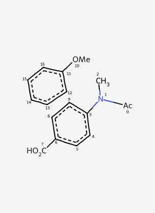 CC(=O)N(C)c1ccc(C(=O)O)cc1.COc1ccccc1